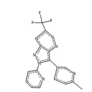 Cc1ccc(-c2c3ncc(C(F)(F)F)cc3nn2-c2ccccn2)cn1